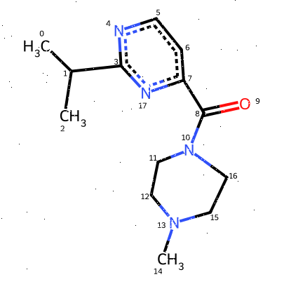 CC(C)c1nccc(C(=O)N2CCN(C)CC2)n1